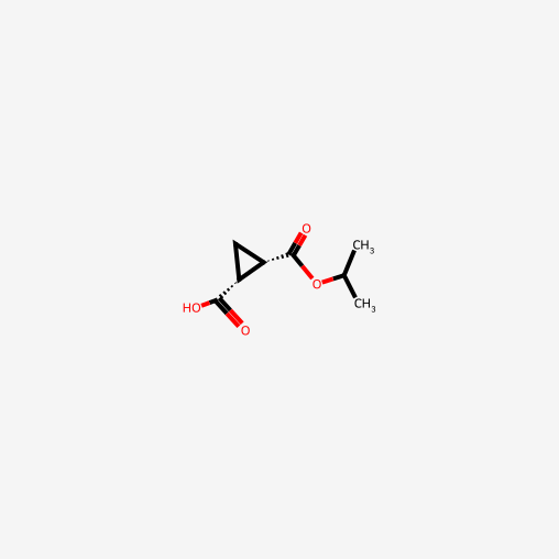 CC(C)OC(=O)[C@H]1C[C@H]1C(=O)O